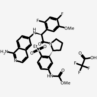 CCS(=O)(=O)c1ccc(NC(=O)OC)cc1[C@H]1CCCN1C(=O)[C@@H](Nc1ccc2c(N)nccc2c1)c1cc(OC)c(F)cc1F.O=C(O)C(F)(F)F